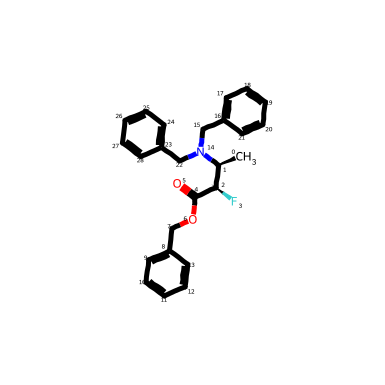 C[C@@H]([C@@H](F)C(=O)OCc1ccccc1)N(Cc1ccccc1)Cc1ccccc1